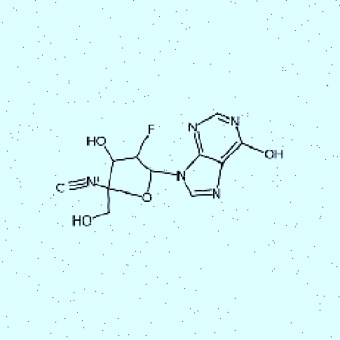 [C-]#[N+]C1(CO)OC(n2cnc3c(O)ncnc32)C(F)C1O